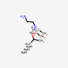 CC(=O)O.CC(=O)O.CC(=O)OC(C)O.NCCN.[NaH].[NaH].[NaH]